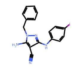 N#Cc1c(Nc2ccc(I)cc2)nn(Cc2ccccc2)c1N